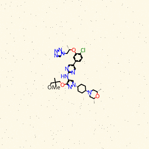 COCC(C)(C)COc1nn([C@H]2CC[C@H](N3C[C@@H](C)O[C@@H](C)C3)CC2)cc1Nc1ncc(-c2ccc(Cl)c(O[C@@H](C)Cn3cnnn3)c2)cn1